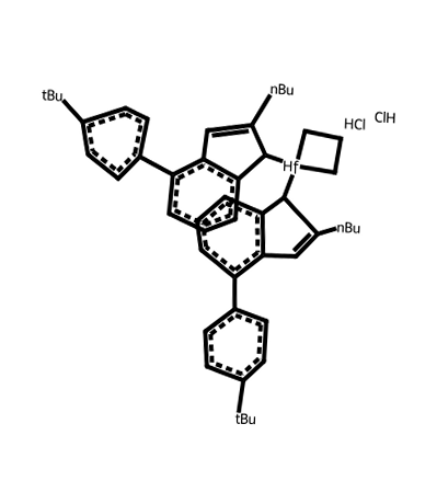 CCCCC1=Cc2c(-c3ccc(C(C)(C)C)cc3)cccc2[CH]1[Hf]1([CH]2C(CCCC)=Cc3c(-c4ccc(C(C)(C)C)cc4)cccc32)[CH2]C[CH2]1.Cl.Cl